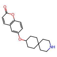 O=c1ccc2cc(OC3CCC4(CCNCC4)CC3)ccc2o1